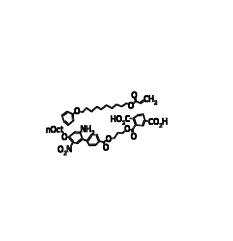 C=CC(=O)OCCCCCCCCCCOc1ccccc1.CCCCCCCCOc1cc(N)c(-c2ccc(C(=O)OCCCOC(=O)c3cc(C(=O)O)ccc3C(=O)O)cc2)cc1[N+](=O)[O-]